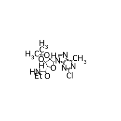 CCNC(=O)[C@H]1O[C@@H](n2cnc3c(C)nc(Cl)nc32)[C@@H]2OC(C)(C)O[C@@H]21